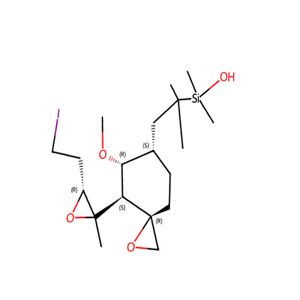 CO[C@@H]1[C@H](CC(C)(C)[Si](C)(C)O)CC[C@]2(CO2)[C@H]1C1(C)O[C@@H]1CCI